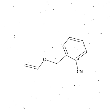 C=COCc1ccccc1C#N